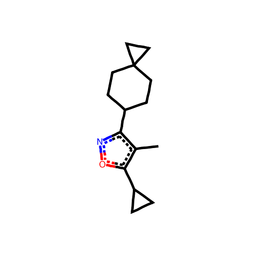 Cc1c(C2CCC3(CC2)CC3)noc1C1CC1